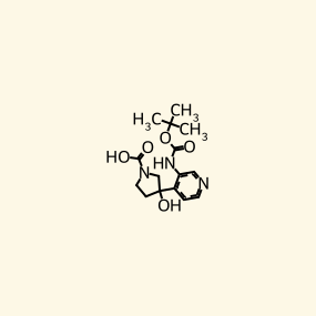 CC(C)(C)OC(=O)Nc1cnccc1C1(O)CCN(C(=O)O)C1